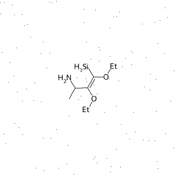 CCOC([SiH3])=C(OCC)C(C)N